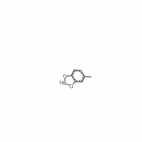 Cc1ccc2c(c1)OBO2